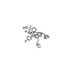 CC1C(C(=O)O)=CC=C[C@@]1(C(=O)O)[S+]([O-])Cc1ccc(F)cc1.c1ncn(Cc2ccc3[nH]cc(CCN4CCCC4)c3c2)n1